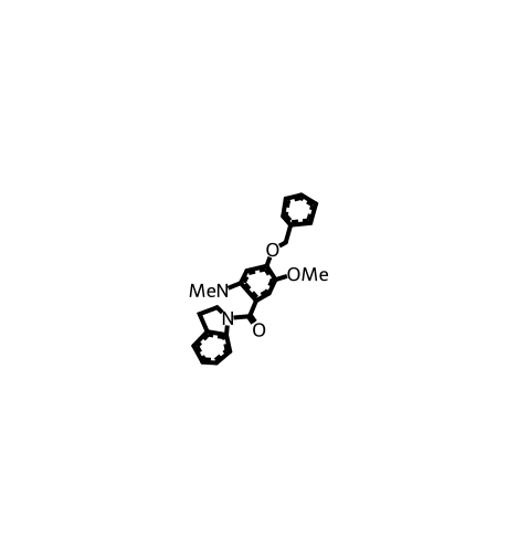 CNc1cc(OCc2ccccc2)c(OC)cc1C(=O)N1CCc2ccccc21